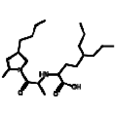 CCCCC1CC(C)N(C(=O)C(C)NC(CCC(CCC)CCC)C(=O)O)C1